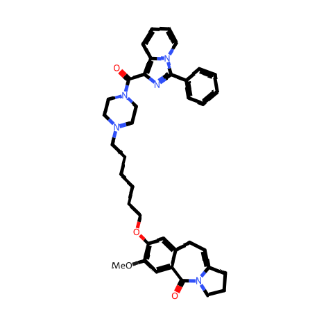 COc1cc2c(cc1OCCCCCCN1CCN(C(=O)c3nc(-c4ccccc4)n4ccccc34)CC1)CC=C1CCCN1C2=O